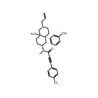 C=CCN1CC[C@@]2(c3cccc(OC(C)=O)c3)C[C@@H](N(C)C(=O)C#Cc3ccc(C(F)(F)F)cc3)CC[C@]2(OC(C)=O)C1